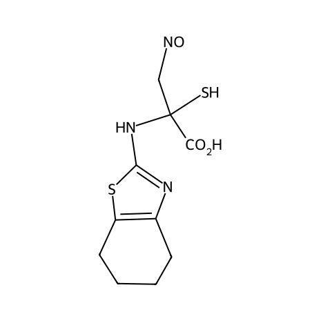 O=NCC(S)(Nc1nc2c(s1)CCCC2)C(=O)O